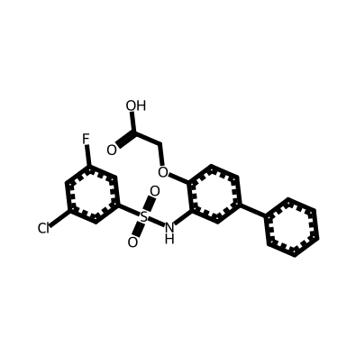 O=C(O)COc1ccc(-c2ccccc2)cc1NS(=O)(=O)c1cc(F)cc(Cl)c1